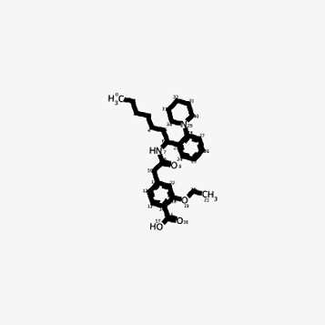 CCCCCCC(NC(=O)Cc1ccc(C(=O)O)c(OCC)c1)c1ccccc1N1CCCCC1